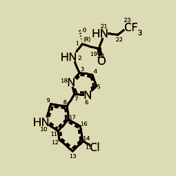 C[C@@H](Nc1ccnc(-c2c[nH]c3ccc(Cl)cc23)n1)C(=O)NCC(F)(F)F